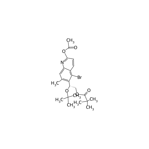 CC(=O)Oc1ccc2c(Br)c([C@H](COC(=O)C(C)(C)C)OC(C)(C)C)c(C)cc2n1